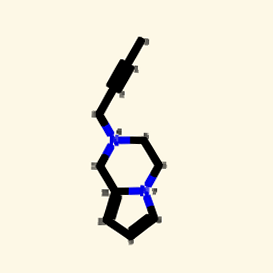 CC#CCN1CCn2cccc2C1